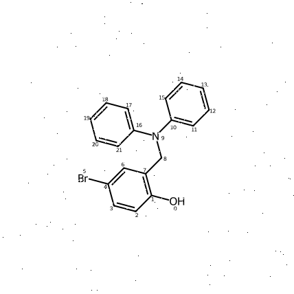 Oc1ccc(Br)cc1CN(c1ccccc1)c1ccccc1